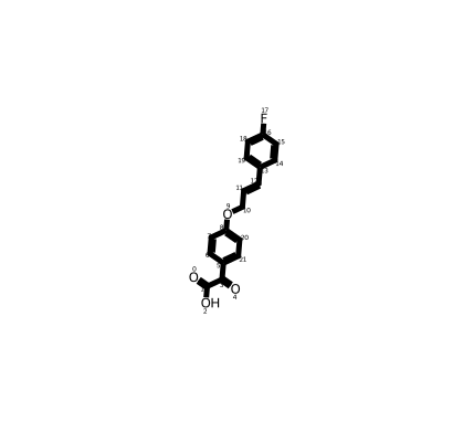 O=C(O)C(=O)c1ccc(OC/C=C/c2ccc(F)cc2)cc1